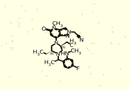 CC[C@H]1CN(C(C)c2ccc(F)cc2NC)[C@H](CC)CN1c1cc(=O)n(C)c2cn(CC#N)nc12